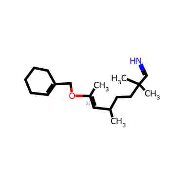 C/C(=C\C(C)CCC(C)(C)C=N)OCC1=CCCCC1